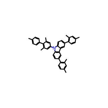 Cc1ccc(-c2c(C)cc(-n3c4ccc(-c5ccc(C)cc5C)cc4c4cc(-c5ccc(C)cc5C)ccc43)cc2C)cc1